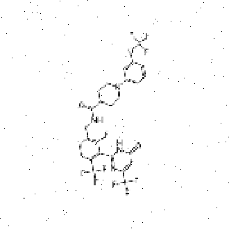 O=C(NCc1ccc(C(F)(F)F)c(-c2nc(C(F)(F)F)cc(=O)[nH]2)c1F)C1CCN(c2cccc(OC(F)(F)F)c2)CC1